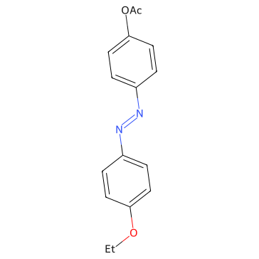 CCOc1ccc(N=Nc2ccc(OC(C)=O)cc2)cc1